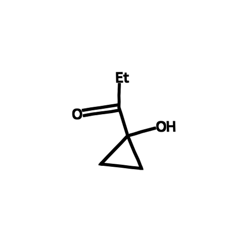 CCC(=O)C1(O)CC1